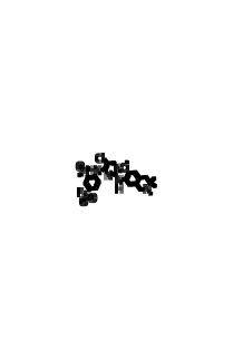 COc1cc2c(cc1Nc1ncc(Cl)c(Nc3ccc(S(=O)(=O)F)cc3P(C)(C)=O)n1)CN(C)C(C)(C)C2